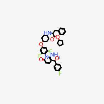 Nc1c(C(=O)c2ccc(F)cc2)ccc(=O)n1-c1c(F)cc(OC2CCC(NC(Cc3ccccc3)C(=O)OC3CCCC3)CC2)cc1F